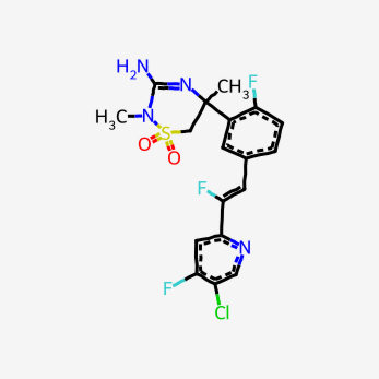 CN1C(N)=NC(C)(c2cc(C=C(F)c3cc(F)c(Cl)cn3)ccc2F)CS1(=O)=O